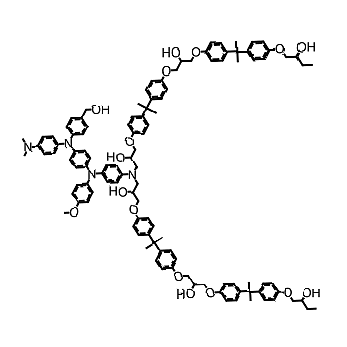 CCC(O)COc1ccc(C(C)(C)c2ccc(OCC(O)COc3ccc(C(C)(C)c4ccc(OCC(O)CN(CC(O)COc5ccc(C(C)(C)c6ccc(OCC(O)COc7ccc(C(C)(C)c8ccc(OCC(O)CC)cc8)cc7)cc6)cc5)c5ccc(N(c6ccc(OC)cc6)c6ccc(N(c7ccc(CO)cc7)c7ccc(N(C)C)cc7)cc6)cc5)cc4)cc3)cc2)cc1